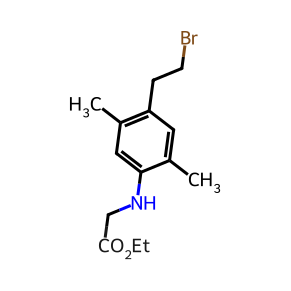 CCOC(=O)CNc1cc(C)c(CCBr)cc1C